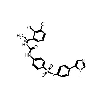 C[C@H](NC(=O)Nc1ccc(S(=O)(=O)Nc2ccc(-c3cnc[nH]3)cc2)cc1)c1cccc(Cl)c1Cl